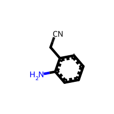 N#CCc1[c]cccc1N